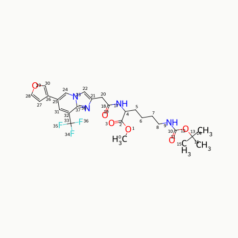 COC(=O)C(CCCCNC(=O)OC(C)(C)C)NC(=O)Cc1cn2cc(-c3ccoc3)cc(C(F)(F)F)c2n1